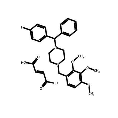 COc1ccc(CN2CCN(C(c3ccccc3)c3ccc(F)cc3)CC2)c(OC)c1OC.O=C(O)C=CC(=O)O